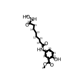 COC(=O)c1cc(NC(=O)CCCCCCC(=O)NO)ccc1O